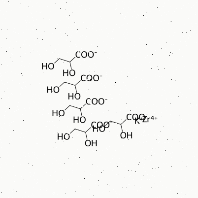 O=C([O-])C(O)CO.O=C([O-])C(O)CO.O=C([O-])C(O)CO.O=C([O-])C(O)CO.O=C([O-])C(O)CO.[K+].[Zr+4]